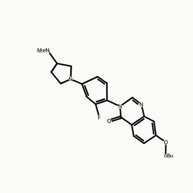 CCCCOc1ccc2c(=O)n(-c3ccc(N4CCC(NC)C4)cc3F)cnc2c1